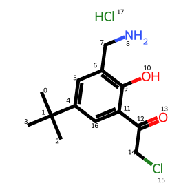 CC(C)(C)c1cc(CN)c(O)c(C(=O)CCl)c1.Cl